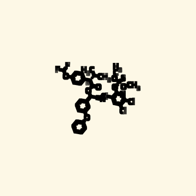 CC(C)[C@H](C(=O)OC(C#N)c1cccc(Oc2ccccc2)c1)c1ccc(OC(F)F)cc1.COP(=S)(OC)Oc1nc(Cl)c(Cl)cc1Cl